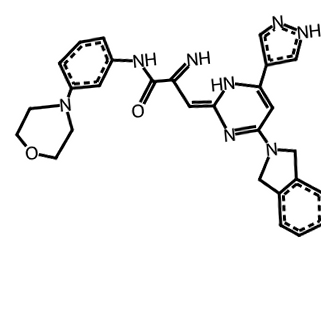 N=C(/C=C1/N=C(N2Cc3ccccc3C2)C=C(c2cn[nH]c2)N1)C(=O)Nc1cccc(N2CCOCC2)c1